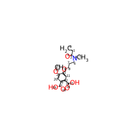 C=CC(=O)N(C)CCCOc1cc(C(=O)O)c(C(=O)O)cc1OC